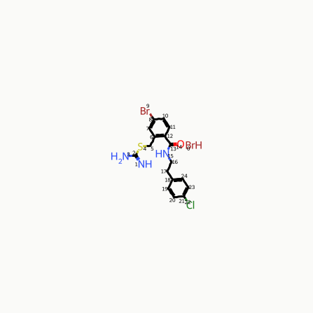 Br.N=C(N)SCc1cc(Br)ccc1C(=O)NCCc1ccc(Cl)cc1